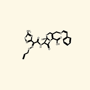 C=CCON=C(C(=O)NC1C(=O)N2C(C(=O)O)=C(CS/C=C\c3ccccc3)CS[C@@H]12)c1nsc(N)n1